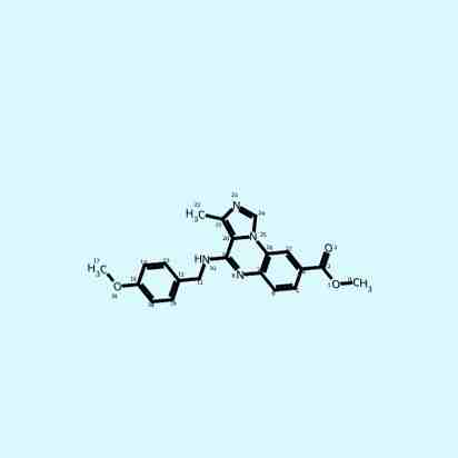 COC(=O)c1ccc2nc(NCc3ccc(OC)cc3)c3c(C)ncn3c2c1